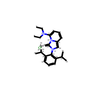 CCN(CC)c1cccc2cn(-c3c(C(C)C)cccc3C(C)C)[c](=[Au-2][Cl])n12